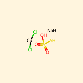 O=S(=O)(O)S.[Cl][Cu][Cl].[NaH]